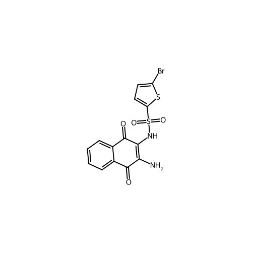 NC1=C(NS(=O)(=O)c2ccc(Br)s2)C(=O)c2ccccc2C1=O